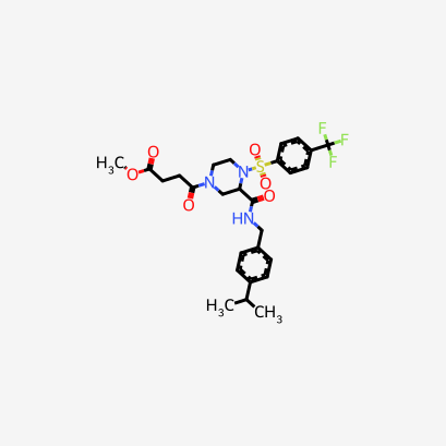 COC(=O)CCC(=O)N1CCN(S(=O)(=O)c2ccc(C(F)(F)F)cc2)C(C(=O)NCc2ccc(C(C)C)cc2)C1